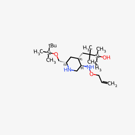 C=CCON[C@H]1CN[C@H](CO[Si](C)(C)C(C)(C)C)C[C@@H]1CC(C)(C)[Si](C)(C)O